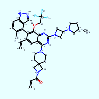 C=CC(=O)N1CC2(CCN(c3nc(N4CC(N5CC[C@H](C)C5)C4)nc4c(OCC(F)(F)F)c(-c5c(C)ccc6[nH]ncc56)c(C=C)cc34)CC2)C1